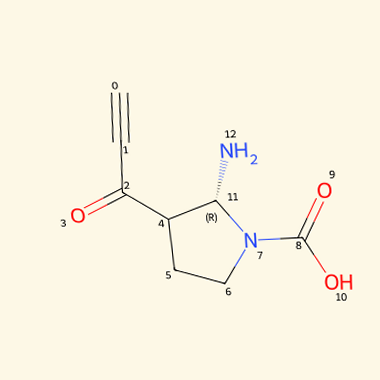 C#CC(=O)C1CCN(C(=O)O)[C@H]1N